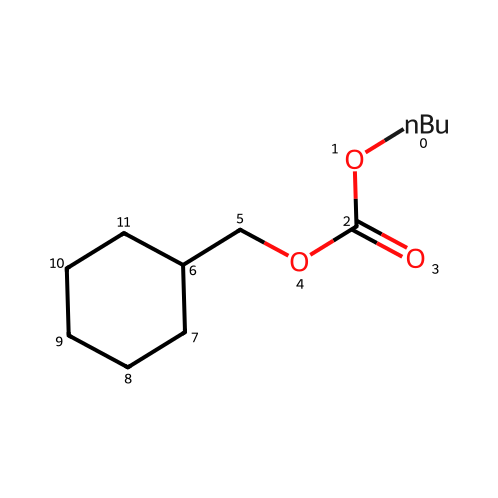 CCCCOC(=O)OCC1CCCCC1